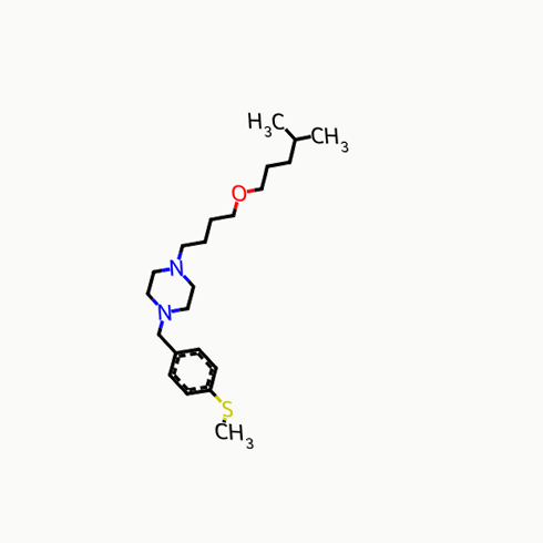 CSc1ccc(CN2CCN(CCCCOCCCC(C)C)CC2)cc1